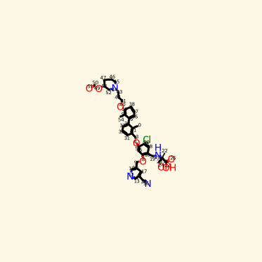 Cc1c(COc2cc(OCc3cncc(C#N)c3)c(CN[C@@](C)(CO)C(=O)O)cc2Cl)cccc1-c1cccc(OCCCN2CCC[C@H](OC=O)C2)c1C